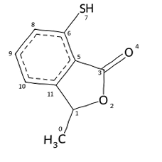 CC1OC(=O)c2c(S)cccc21